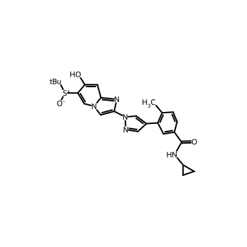 Cc1ccc(C(=O)NC2CC2)cc1-c1cnn(-c2cn3cc([S+]([O-])C(C)(C)C)c(O)cc3n2)c1